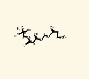 CC(C)(C)CCC(=O)OCOC(=O)CC(=O)OCC(F)(F)C(F)(F)F